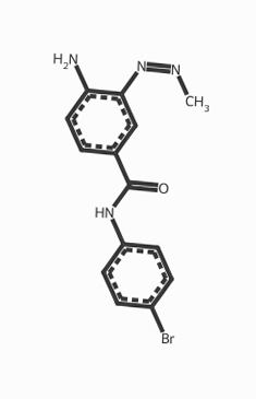 C/N=N\c1cc(C(=O)Nc2ccc(Br)cc2)ccc1N